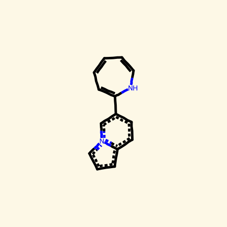 C1=CC=C(c2ccc3cccn3c2)NC=C1